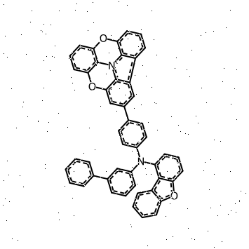 c1ccc(-c2cccc(N(c3ccc(-c4cc5c6c(c4)c4cccc7c4n6-c4c(cccc4O5)O7)cc3)c3cccc4oc5ccccc5c34)c2)cc1